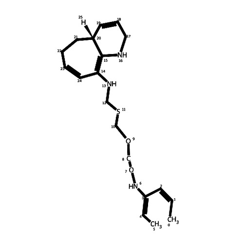 C/C=C\C(=C/C)NOCOCSCNC1=C2NCC=C[C@H]2CCC=C1